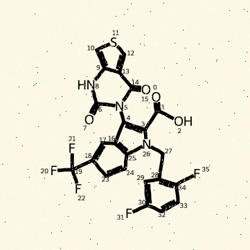 O=C(O)c1c(-n2c(=O)[nH]c3cscc3c2=O)c2cc(C(F)(F)F)ccc2n1Cc1cc(F)ccc1F